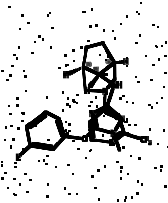 Cn1nc(N[C@@H]2[C@@H]3CC[C@H]2CN(c2ccnc(C(F)(F)F)c2)C3)nc1Oc1cccc(F)c1